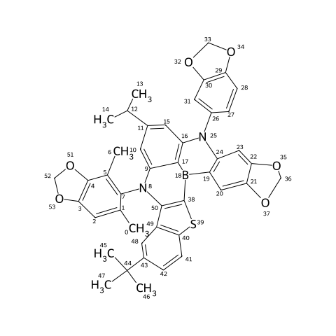 Cc1cc2c(c(C)c1N1c3cc(C(C)C)cc4c3B(c3cc5c(cc3N4c3ccc4c(c3)OCO4)OCO5)c3sc4ccc(C(C)(C)C)cc4c31)OCO2